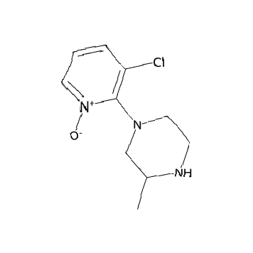 CC1CN(c2c(Cl)ccc[n+]2[O-])CCN1